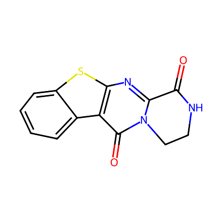 O=C1NCCn2c1nc1sc3ccccc3c1c2=O